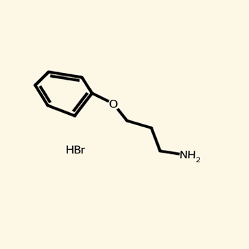 Br.NCCCOc1ccccc1